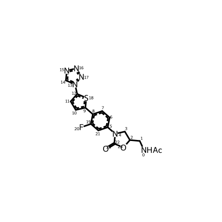 CC(=O)NCC1CN(c2ccc(-c3ccc(-n4cnnn4)s3)c(F)c2)C(=O)O1